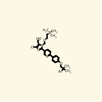 CC(=O)C(C)(C)COc1ccc(-c2ccc(-c3nc(Cl)c(CO)n3COCC[Si](C)(C)C)cn2)cc1